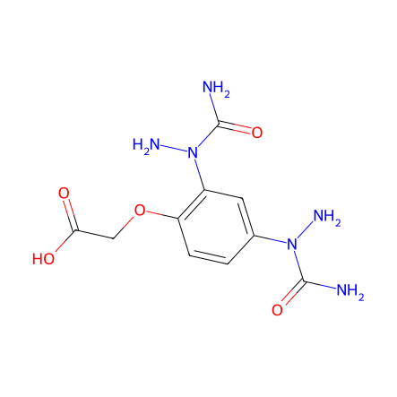 NC(=O)N(N)c1ccc(OCC(=O)O)c(N(N)C(N)=O)c1